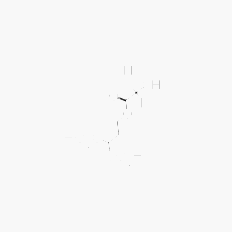 CCC(C)(C)C(=O)OCCC(C(=O)O)C(=O)O